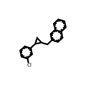 Clc1cccc(C2CC2Cc2ccc3ccccc3c2)c1